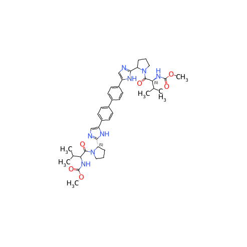 COC(=O)NC(C(=O)N1CCC[C@H]1c1ncc(-c2ccc(-c3ccc(-c4cnc(C5CCCN5C(=O)[C@@H](NC(=O)OC)C(C)C)[nH]4)cc3)cc2)[nH]1)C(C)C